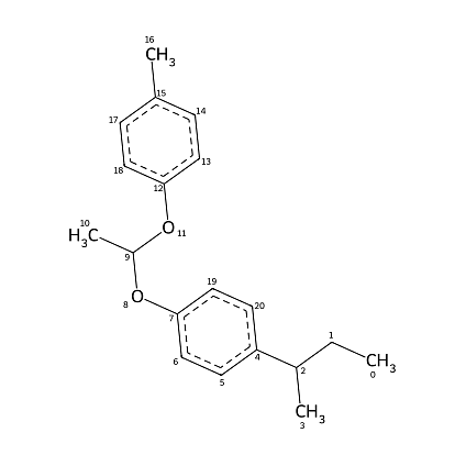 CCC(C)c1ccc(OC(C)Oc2ccc(C)cc2)cc1